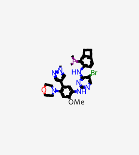 COc1cc(N2CCOCC2)c(-c2cnn(C)c2)cc1Nc1ncc(Br)c(Nc2ccc3c(c2P(C)C)CC3)n1